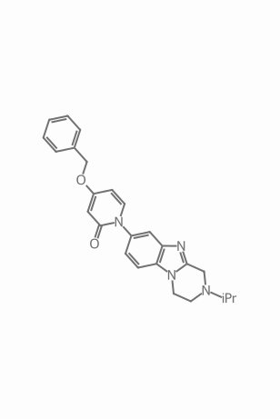 CC(C)N1CCn2c(nc3cc(-n4ccc(OCc5ccccc5)cc4=O)ccc32)C1